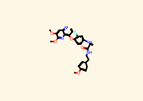 C=C/C(Oc1ccc(NC(=C)C(=O)NCCC2C=CC(OC)=CC2)cc1F)=C1/N=C(OC)C(OC)=C/C1=N/C